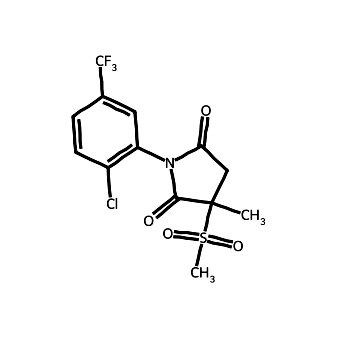 CC1(S(C)(=O)=O)CC(=O)N(c2cc(C(F)(F)F)ccc2Cl)C1=O